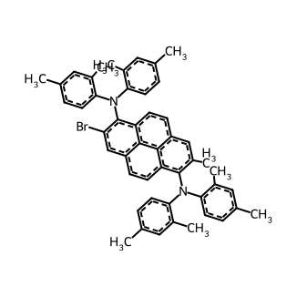 Cc1ccc(N(c2ccc(C)cc2C)c2c(C)cc3ccc4c(N(c5ccc(C)cc5C)c5ccc(C)cc5C)c(Br)cc5ccc2c3c54)c(C)c1